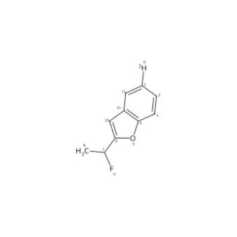 [2H]c1ccc2oc(C(C)F)cc2c1